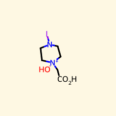 O=C(O)C[N+]1(O)CCN(I)CC1